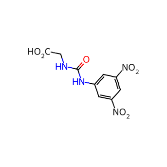 O=C(O)CNC(=O)Nc1cc([N+](=O)[O-])cc([N+](=O)[O-])c1